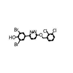 Oc1c(Br)cc(-c2ccc(OCc3cccc(Cl)c3Cl)nn2)cc1Br